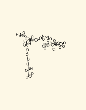 COC(=O)c1cc2c3c(cc(OC(=O)N(C)CCN(C)C(=O)OCc4ccc(NC(=O)[C@H](CCCNC(N)=O)NC(=O)[C@@H](NC(=O)CCOCCOCCOCCOCCNC(=O)CCN5C(=O)CCC5=O)C(C)C)cc4)c2[nH]1)N(C(=O)c1cc2cc(OC)c(OC)c(OC)c2[nH]1)C[C@H]3CCl